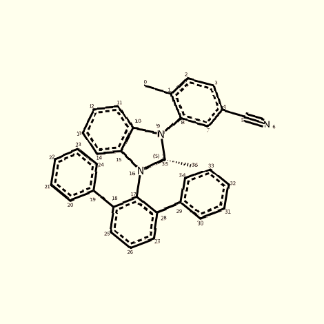 Cc1ccc(C#N)cc1N1c2ccccc2N(c2c(-c3ccccc3)cccc2-c2ccccc2)[C@H]1C